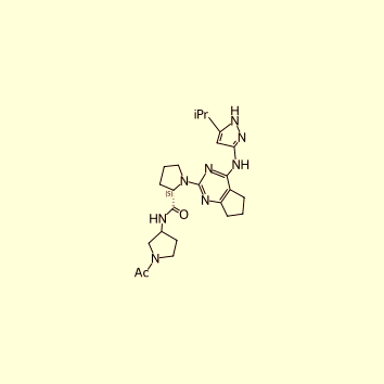 CC(=O)N1CCC(NC(=O)[C@@H]2CCCN2c2nc3c(c(Nc4cc(C(C)C)[nH]n4)n2)CCC3)C1